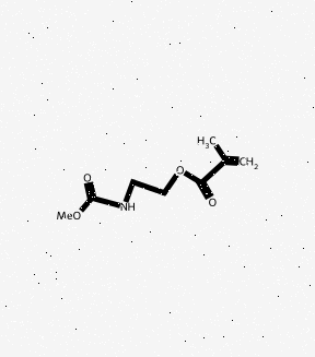 [CH2]OC(=O)NCCOC(=O)C(=C)C